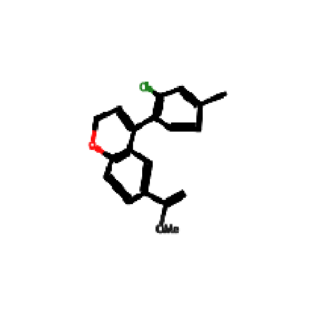 C=C(OC)c1ccc2c(c1)C(c1ccc(C)cc1Cl)=CCO2